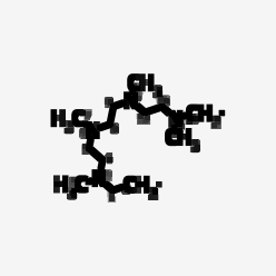 [CH2]CN(C)CCN(C)CCN(C)CCN([CH2])C